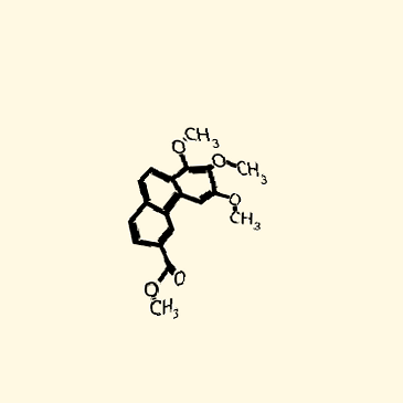 COC(=O)c1ccc2ccc3c(OC)c(OC)c(OC)cc3c2c1